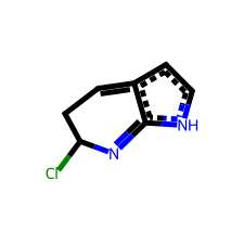 ClC1CC=c2cc[nH]c2=N1